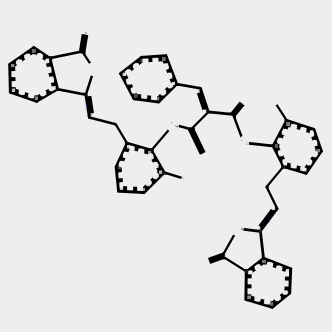 O=C(Nc1c(C/C=C2\OC(=O)c3ccccc32)cccc1C(=O)O)C(=Cc1ccccc1)C(=O)Nc1c(C/C=C2\OC(=O)c3ccccc32)cccc1C(=O)O